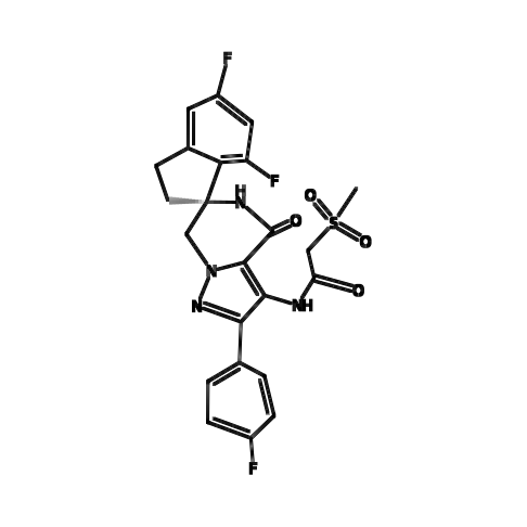 CS(=O)(=O)CC(=O)Nc1c(-c2ccc(F)cc2)nn2c1C(=O)N[C@@]1(CCc3cc(F)cc(F)c31)C2